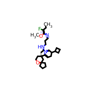 CC/C(F)=C(\N=C/CCNCC[C@@]1(C2=CCC(C3CCC3)C=N2)CCOC2(CCCC2)C1)OC